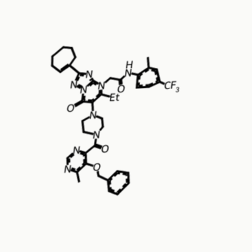 CCc1c(N2CCN(C(=O)c3ncnc(C)c3OCc3ccccc3)CC2)c(=O)n2nc(C3=CCCCCC3)nc2n1CC(=O)Nc1ccc(C(F)(F)F)cc1C